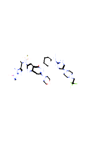 C=[N+]([O-])c1ncc(C(C)N(c2cnc3cc(N4CCOCC4)nc(O[C@H]4CC[C@@H](Nc5ncc(N6CCN(CC(F)(F)F)CC6)cn5)CC4)c3c2)S(C)(=O)=O)n1C